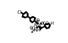 C[S+]([O-])NC(=O)C1(N(CC(=O)O)S(=O)(=O)c2ccc(-c3ccc(Cl)cc3)cc2)CC1c1ccccc1